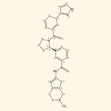 CN1CCc2nc(NC(=O)c3cccc([C@H]4CCCN4C(=O)C4=CC(c5cc[nH]n5)CC=C4)c3)sc2C1